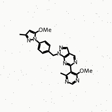 COc1ncnc(C)c1-c1ncc2cnn(Cc3ccc(-n4nc(C)cc4OC)cc3)c2n1